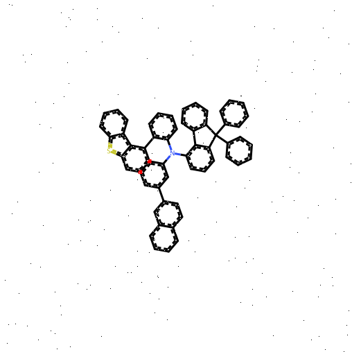 c1ccc(C2(c3ccccc3)c3ccccc3-c3c(N(c4cccc(-c5ccc6ccccc6c5)c4)c4ccccc4-c4cccc5sc6ccccc6c45)cccc32)cc1